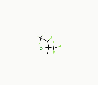 CC(Cl)(C(F)C(F)(F)F)C(F)(F)F